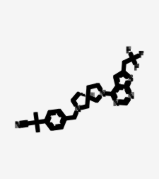 CC(C)(C#N)c1ccc(CN2CC[C@@]3(CCN(c4ncnc5sc(CC(F)(F)F)cc45)C3)C2)cc1